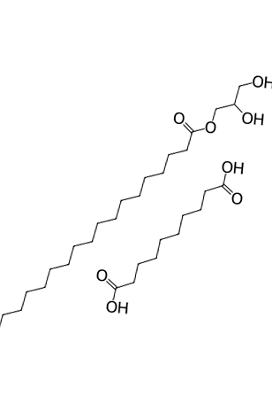 CCCCCCCCCCCCCCCCCC(=O)OCC(O)CO.O=C(O)CCCCCCCCC(=O)O